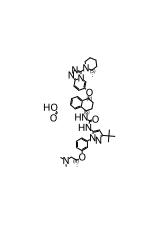 C[C@H](CN(C)C)Oc1cccc(-n2nc(C(C)(C)C)cc2NC(=O)N[C@H]2CC[C@@H](Oc3ccc4nnc(N5CCCC[C@@H]5C)n4c3)c3ccccc32)c1.O=CO